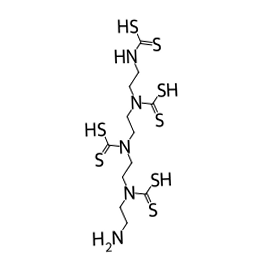 NCCN(CCN(CCN(CCNC(=S)S)C(=S)S)C(=S)S)C(=S)S